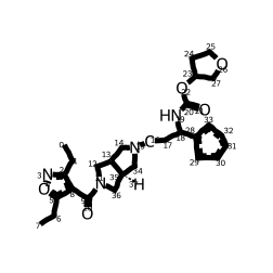 CCc1noc(CC)c1C(=O)N1CC2CN(CCC(NC(=O)OC3CCOC3)c3ccccc3)C[C@H]2C1